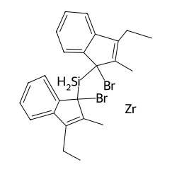 CCC1=C(C)C(Br)([SiH2]C2(Br)C(C)=C(CC)c3ccccc32)c2ccccc21.[Zr]